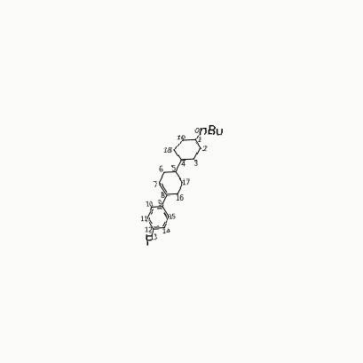 CCCCC1CCC(C2CC=C(c3ccc(F)cc3)CC2)CC1